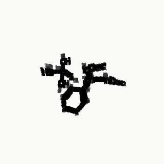 CCCCCCCCC[CH2][Zn]([CH2]CCCCCCCCC)[c]1ccccc1.OP(O)(=S)S